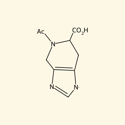 CC(=O)N1CC2=C(CC1C(=O)O)[N]C=N2